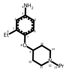 CCc1cc(N)ccc1OC1CCN(C(C)C)CC1